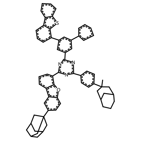 CC1(c2ccc(-c3nc(-c4cc(-c5ccccc5)cc(-c5cccc6c5sc5ccccc56)c4)nc(-c4cccc5c4oc4ccc(C67CC8CC(CC(C8)C6)C7)cc45)n3)cc2)CC2CCCC(C2)C1